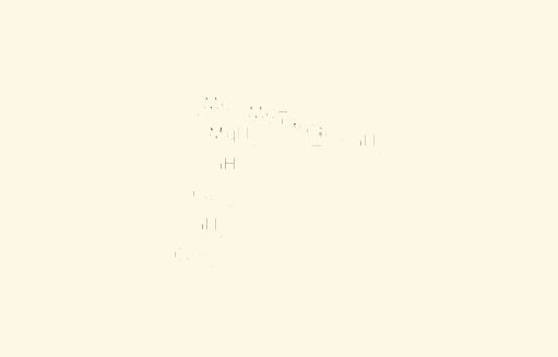 [CaH2].[CaH2].[CaH2].[CaH2].[CaH2].[CaH2].[CaH2].[MgH2].[MgH2].[MgH2]